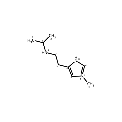 CC(C)NCCc1c[n+](C)c[nH]1